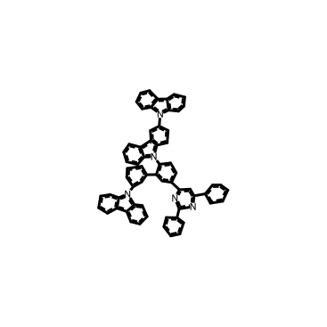 c1ccc(-c2cc(-c3ccc(-n4c5ccccc5c5cc(-n6c7ccccc7c7ccccc76)ccc54)c(-c4cccc(-n5c6ccccc6c6ccccc65)c4)c3)nc(-c3ccccc3)n2)cc1